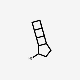 SC1CCC2C1C1C3CC4C3C241